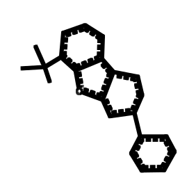 CC(C)(C)c1cccc2c1oc1cc(-c3ccccc3)ccc12